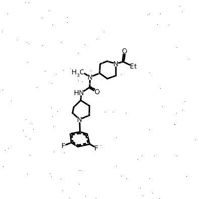 CCC(=O)N1CCC(N(C)C(=O)NC2CCN(c3cc(F)cc(F)c3)CC2)CC1